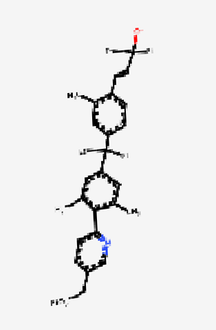 CCOC(=O)Cc1ccc(-c2c(C)cc(C(CC)(CC)c3ccc(C=CC(O)(CC)CC)c(C)c3)cc2C)nc1